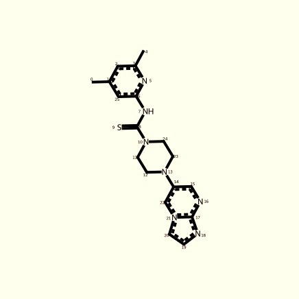 Cc1cc(C)nc(NC(=S)N2CCN(c3cnc4nccn4c3)CC2)c1